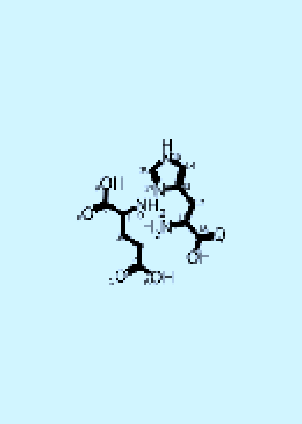 NC(CCC(=O)O)C(=O)O.NC(Cc1c[nH]cn1)C(=O)O